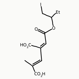 CCC(CI)OC(=O)/C=C(/C=C(\C)C(=O)O)C(=O)O